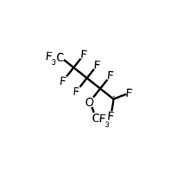 F[C](F)C(F)(OC(F)(F)F)C(F)(F)C(F)(F)C(F)(F)F